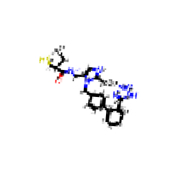 CCCCc1ncc(CNC(=O)C(CS)CC(C)C)n1Cc1ccc(-c2ccccc2-c2nnn[nH]2)cc1